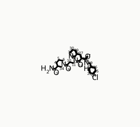 NC(=O)C1CCCN(C(=O)CCn2c(=O)c(C(=O)NCc3ccc(Cl)cc3)cc3cccnc32)C1